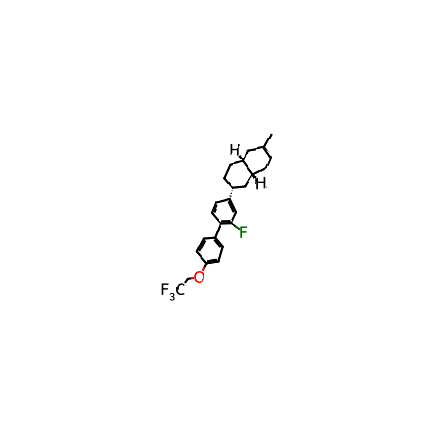 CC1CC[C@@H]2C[C@H](c3ccc(-c4ccc(OCC(F)(F)F)cc4)c(F)c3)CC[C@@H]2C1